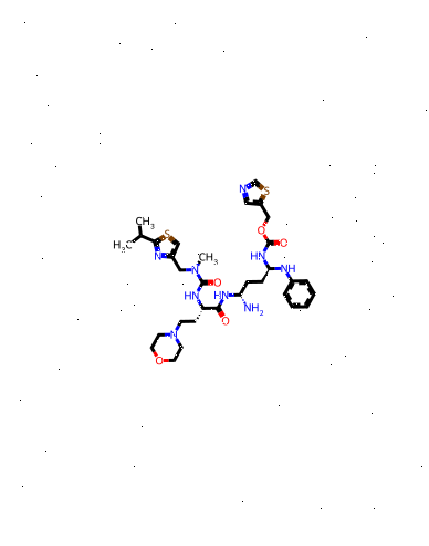 CC(C)c1nc(CN(C)C(=O)N[C@@H](CCN2CCOCC2)C(=O)N[C@@H](N)CC[C@@H](NC(=O)OCc2cncs2)Nc2ccccc2)cs1